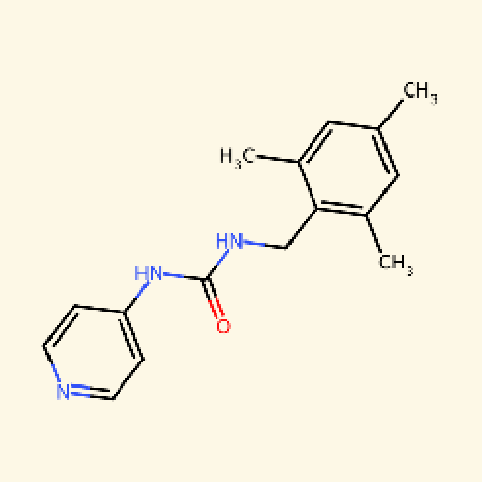 Cc1cc(C)c(CNC(=O)Nc2ccncc2)c(C)c1